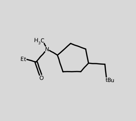 CCC(=O)N(C)C1CCC(CC(C)(C)C)CC1